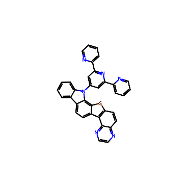 c1ccc(-c2cc(-n3c4ccccc4c4ccc5c(sc6ccc7nccnc7c65)c43)cc(-c3ccccn3)n2)nc1